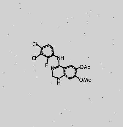 COc1cc2c(cc1OC(C)=O)C(Nc1ccc(Cl)c(Cl)c1F)=NCN2